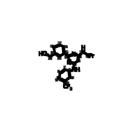 CC(C)Nc1cc(Nc2ccnc(C(F)(F)F)c2)nc(-c2cccc(CO)c2)n1